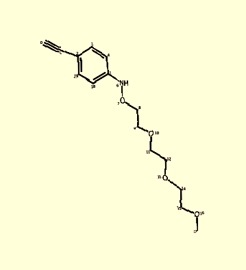 C#Cc1ccc(NOCCOCCOCCOC)cc1